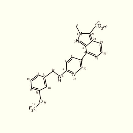 Cn1nc2c(-c3ccc(NCc4cccc(OC(F)(F)F)c4)nc3)cccc2c1C(=O)O